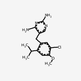 COc1cc(C(C)C)c(Cc2cnc(N)nc2N)cc1Cl